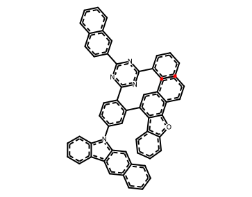 c1ccc(-c2nc(-c3ccc4ccccc4c3)nc(-c3ccc(-n4c5ccccc5c5cc6ccccc6cc54)cc3-c3cc4ccccc4c4oc5ccccc5c34)n2)cc1